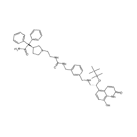 CC(C)(C)[Si](C)(C)O[C@@H](CNCc1cccc(CNC(=O)NCCN2CC[C@@H](C(C(N)=O)(c3ccccc3)c3ccccc3)C2)c1)c1ccc(O)c2[nH]c(=O)ccc12